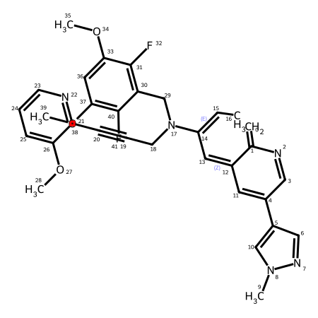 C=c1ncc(-c2cnn(C)c2)c/c1=C/C(=C\C)N(CC#Cc1ncccc1OC)Cc1c(F)c(OC)cc(OC)c1F